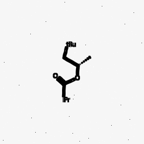 CC(C)C(=O)O[C@@H](C)CC(C)(C)C